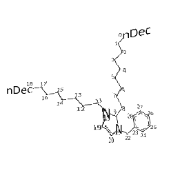 CCCCCCCCCCCCCCCCCCC1N(CCCCCCCCCCCCCCCCC)C=CN1Cc1ccccc1